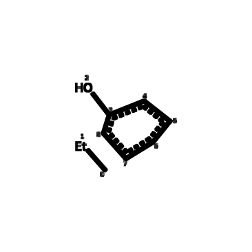 CCC.Oc1ccccc1